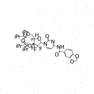 CC(C)[Si]1(C(C)C)OC[C@H]2OC(n3ccc(NC(=O)c4ccc5c(c4)OCO5)nc3=O)C(F)(F)[C@@H]2O[Si](C(C)C)(C(C)C)O1